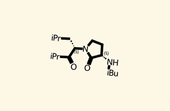 CCC(C)N[C@H]1CCN([C@@H](CC(C)C)C(=O)C(C)C)C1=O